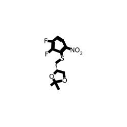 CC1(C)OC[C@@H](CSc2c([N+](=O)[O-])ccc(F)c2F)O1